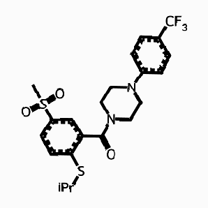 CC(C)Sc1ccc(S(C)(=O)=O)cc1C(=O)N1CCN(c2ccc(C(F)(F)F)cc2)CC1